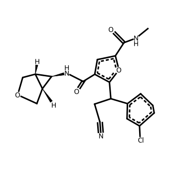 CNC(=O)c1cc(C(=O)N[C@H]2[C@@H]3COC[C@@H]32)c(C(CC#N)c2cccc(Cl)c2)o1